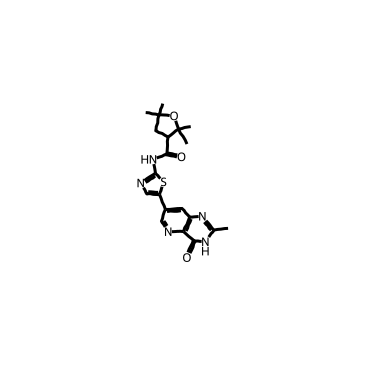 Cc1nc2cc(-c3cnc(NC(=O)C4CC(C)(C)OC4(C)C)s3)cnc2c(=O)[nH]1